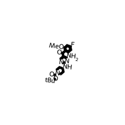 COc1cc(F)ccc1C(=O)c1cnc(NC2CCN(C(=O)OC(C)(C)C)CC2)nc1N